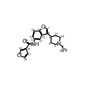 CC(C)CN1CCC(c2coc3ccc(NC(=O)c4ccoc4)cc23)CC1